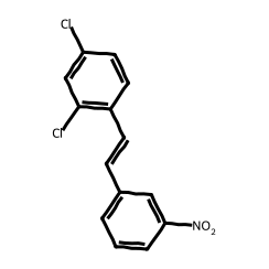 O=[N+]([O-])c1cccc(C=Cc2ccc(Cl)cc2Cl)c1